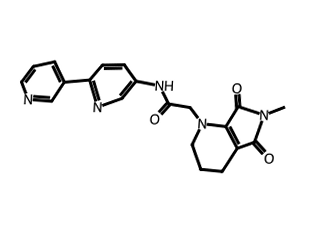 CN1C(=O)C2=C(C1=O)N(CC(=O)Nc1ccc(-c3cccnc3)nc1)CCC2